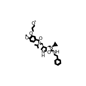 COCCCOc1cc(C(=O)N(C[C@@H]2CNC[C@H]2CN(C(=O)NCCc2ccccc2)C2CC2)C(C)C)ccc1OC